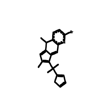 CC1=C(C(C)(C)C2=CC=CC2)C2=Cc3nc(Br)ccc3C(C)C2=C1